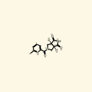 Cc1cccc(C(=O)N2C[C@@H]3C(=O)NC(=O)[C@@H]3C2)n1